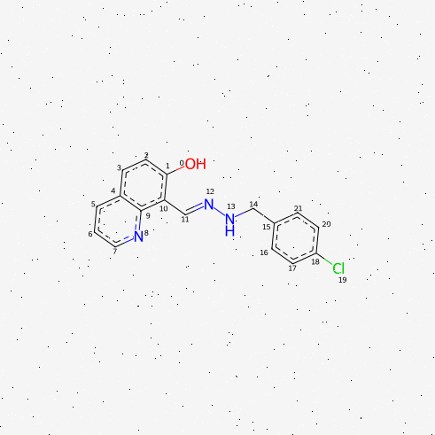 Oc1ccc2cccnc2c1/C=N/NCc1ccc(Cl)cc1